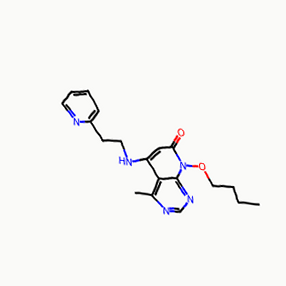 CCCCOn1c(=O)cc(NCCc2ccccn2)c2c(C)ncnc21